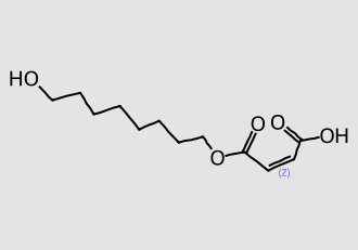 O=C(O)/C=C\C(=O)OCCCCCCCCO